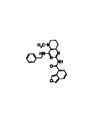 CN1CCCc2nc(NC(=O)c3cccc4cocc34)nc(NCc3ccccc3)c21